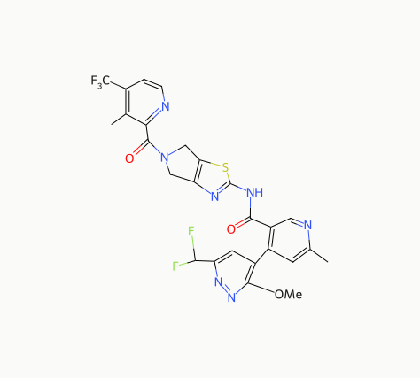 COc1nnc(C(F)F)cc1-c1cc(C)ncc1C(=O)Nc1nc2c(s1)CN(C(=O)c1nccc(C(F)(F)F)c1C)C2